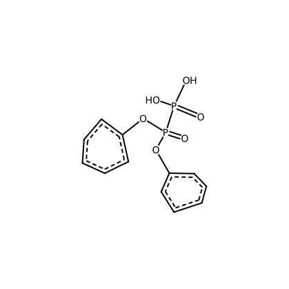 O=P(O)(O)P(=O)(Oc1ccccc1)Oc1ccccc1